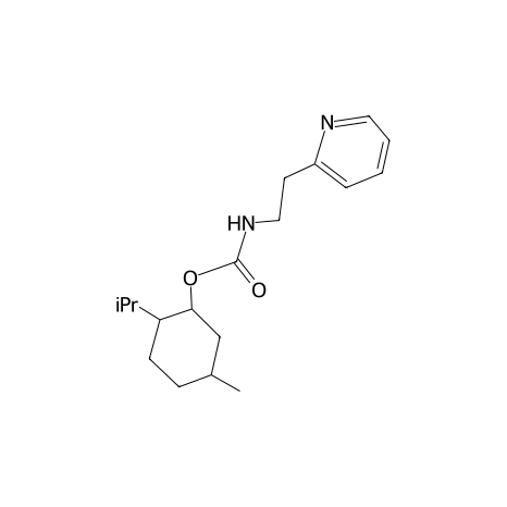 CC1CCC(C(C)C)C(OC(=O)NCCc2ccccn2)C1